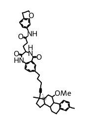 COC1C[C@@]2(C)C(CCC2(C)C#CCCCc2ccc3c(c2)C(=O)NC(CCC(=O)Nc2ccc4c(c2)OCC4)C(=O)N3)C2CCc3cc(C)ccc3C12